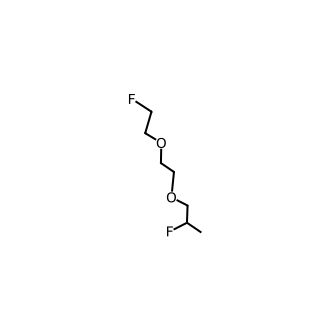 CC(F)COCCOCCF